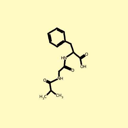 CC(C)C(=O)NCC(=O)NC(Cc1ccccc1)C(=O)O